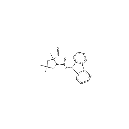 CC1(C)CN(C(=O)OC2c3ccccc3-c3ccccc32)C(C)(C=O)C1